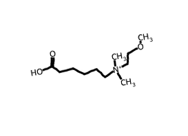 COCC[N+](C)(C)CCCCCC(=O)O